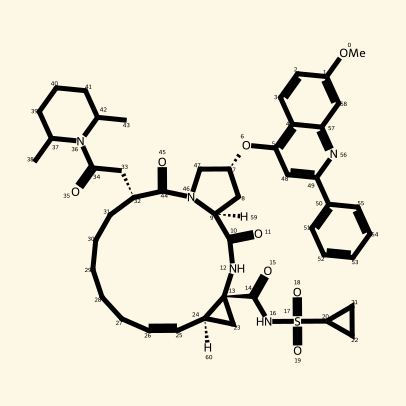 COc1ccc2c(O[C@@H]3C[C@H]4C(=O)N[C@]5(C(=O)NS(=O)(=O)C6CC6)C[C@H]5C=CCCCCC[C@H](CC(=O)N5C(C)CCCC5C)C(=O)N4C3)cc(-c3ccccc3)nc2c1